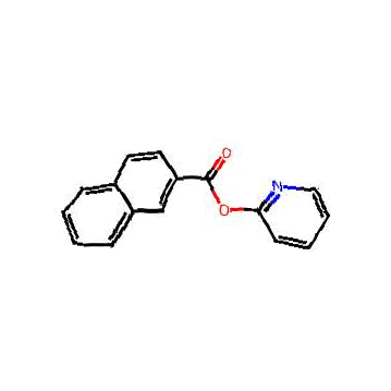 O=C(Oc1ccc[c]n1)c1ccc2ccccc2c1